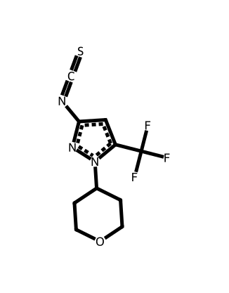 FC(F)(F)c1cc(N=C=S)nn1C1CCOCC1